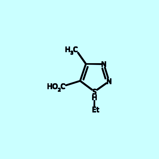 CC[SH]1N=NC(C)=C1C(=O)O